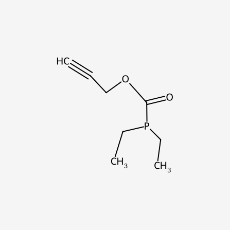 C#CCOC(=O)P(CC)CC